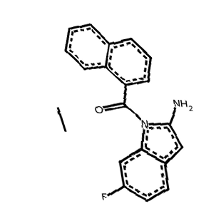 CC.Nc1cc2ccc(F)cc2n1C(=O)c1cccc2ccccc12